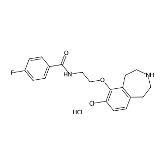 Cl.O=C(NCCOc1c(Cl)ccc2c1CCNCC2)c1ccc(F)cc1